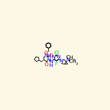 CN(C)C12CC1CN(c1nc(Cl)nc(NNC(=O)[C@@H](CC3CCCC3)CN(C=O)OCc3ccccc3)c1F)C2